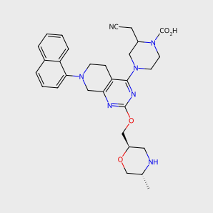 C[C@@H]1CO[C@@H](COc2nc3c(c(N4CCN(C(=O)O)C(CC#N)C4)n2)CCN(c2cccc4ccccc24)C3)CN1